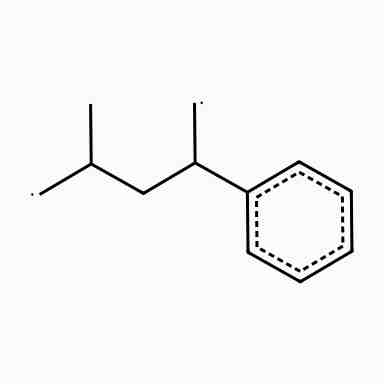 [CH2]C(C)CC([CH2])c1ccccc1